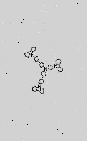 c1ccc2c(c1)c1ccccc1n2-c1ccc(-c2ccc(N(c3ccc(-c4ccc(-n5c6ccccc6c6ccccc65)cc4)cc3)c3ccc(-n4c5ccccc5c5ccccc54)cc3)cc2)cc1